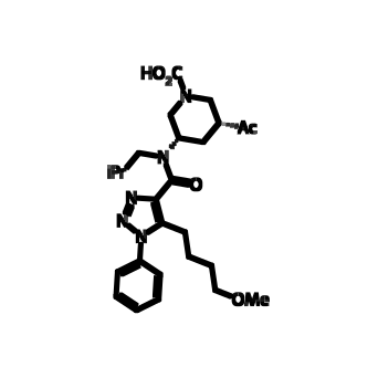 COCCCCc1c(C(=O)N(CC(C)C)[C@H]2C[C@@H](C(C)=O)CN(C(=O)O)C2)nnn1-c1ccccc1